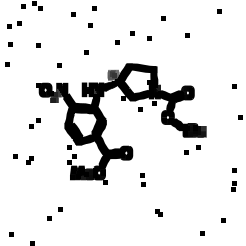 COC(=O)c1ccc([N+](=O)[O-])c(N[C@H]2CCN(C(=O)OC(C)(C)C)C2)c1